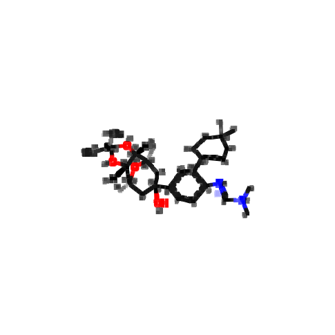 CN(C)/C=N/c1ccc([C@@]2(O)C[C@@]3(C)O[C@@](C)(C2)[C@@H]2O[Si](C(C)(C)C)(C(C)(C)C)O[C@@H]23)cc1C1=CCC(C)(C)CC1